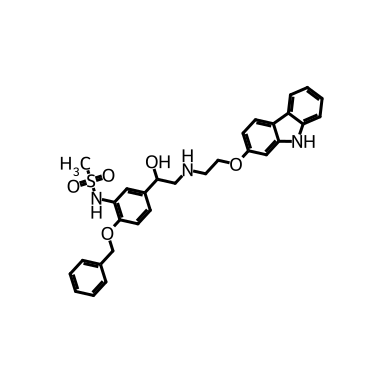 CS(=O)(=O)Nc1cc(C(O)CNCCOc2ccc3c(c2)[nH]c2ccccc23)ccc1OCc1ccccc1